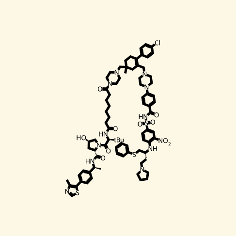 Cc1ncsc1-c1ccc([C@H](C)NC(=O)[C@@H]2C[C@@H](O)CN2C(=O)[C@@H](NC(=O)CCCCCCC(=O)N2CCN(CC3(C)CCC(c4ccc(Cl)cc4)=C(CN4CCN(c5ccc(C(=O)NS(=O)(=O)c6ccc(N[C@H](CCN7CCCC7)CSc7ccccc7)c([N+](=O)[O-])c6)cc5)CC4)C3)CC2)C(C)(C)C)cc1